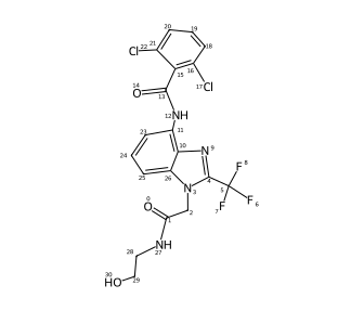 O=C(Cn1c(C(F)(F)F)nc2c(NC(=O)c3c(Cl)cccc3Cl)cccc21)NCCO